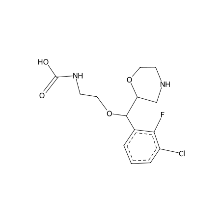 O=C(O)NCCOC(c1cccc(Cl)c1F)C1CNCCO1